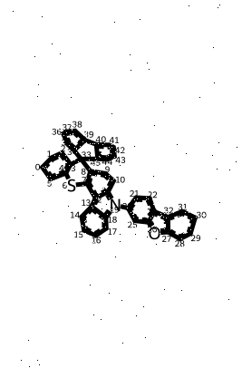 c1ccc2c(c1)Sc1c(ccc3c1c1ccccc1n3-c1ccc3c(c1)oc1ccccc13)C21c2ccccc2-c2ccccc21